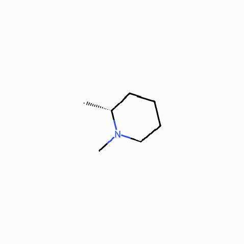 [CH2][C@@H]1CCCCN1C